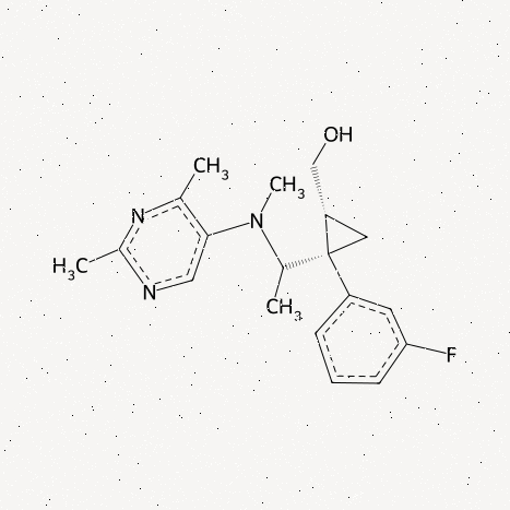 Cc1ncc(N(C)C(C)[C@@]2(c3cccc(F)c3)C[C@H]2CO)c(C)n1